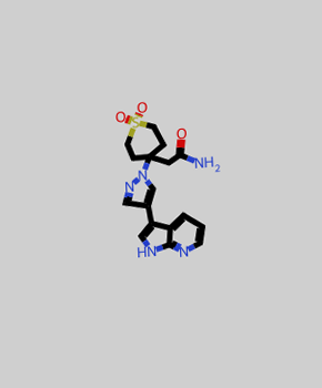 NC(=O)CC1(n2cc(-c3c[nH]c4ncccc34)cn2)CCS(=O)(=O)CC1